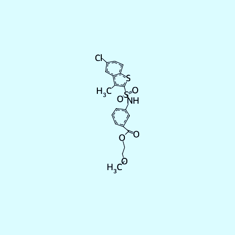 COCCOC(=O)c1cccc(NS(=O)(=O)c2sc3ccc(Cl)cc3c2C)c1